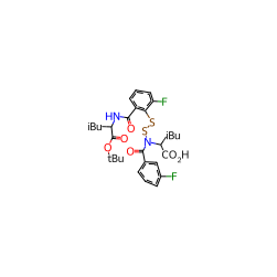 CCC(C)C(NC(=O)c1cccc(F)c1SSN(C(=O)c1cccc(F)c1)C(C(=O)O)C(C)CC)C(=O)OC(C)(C)C